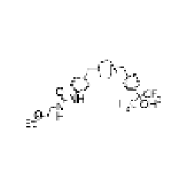 CCOCCNC(=O)Nc1ccc(CC2CCN(Cc3ccc(C(O)(C(F)(F)F)C(F)(F)F)cc3)CC2)cc1